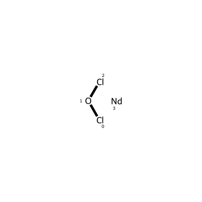 ClOCl.[Nd]